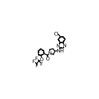 O=C(c1ccccc1OC(F)(F)C(F)F)N1CCC(Nc2cnc3ccc(Cl)cc3n2)C1